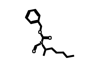 CCCCCC(C)N(C=O)C(=O)OCc1ccccc1